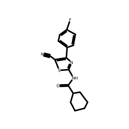 N#Cc1sc(NC(=O)C2CCCCC2)nc1-c1ccc(F)cc1